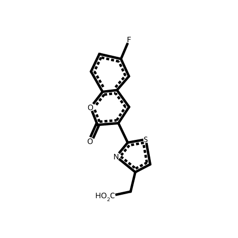 O=C(O)Cc1csc(-c2cc3cc(F)ccc3oc2=O)n1